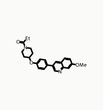 CCC(=O)N1CCC(Oc2ccc(-c3cnc4cc(OC)ccc4c3)cc2)CC1